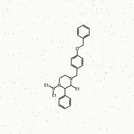 CCC1C(c2ccccc2)N(N(CC)CC)CCN1Cc1ccc(OCc2ccccc2)cc1